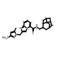 Cc1cc(C(=O)O)nn1Cc1cn2c(C(=O)NCC34CC5CC6CC(C3)C6(C5)C4)cccc2n1